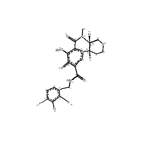 COc1c2n(cc(C(=O)NCc3ccc(F)c(Cl)c3F)c1=O)[C@H]1CCOC[C@H]1N(C)C2=O